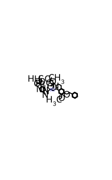 COC(=O)c1cn2c(/C=C/C3c4cc(OC)c(OCc5ccccc5)cc4CCN3C(=O)OC(C)(C)C)cnc2cn1